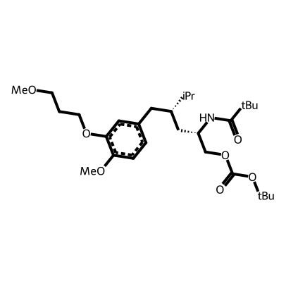 COCCCOc1cc(C[C@@H](C[C@@H](COC(=O)OC(C)(C)C)NC(=O)C(C)(C)C)C(C)C)ccc1OC